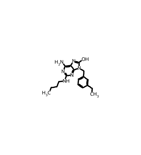 CCCCNc1nc(N)c2nc(O)n(Cc3cccc(CC)c3)c2n1